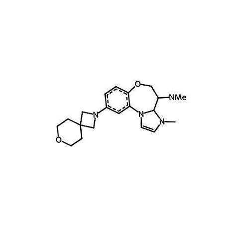 CNC1COc2ccc(N3CC4(CCOCC4)C3)cc2N2C=CN(C)C12